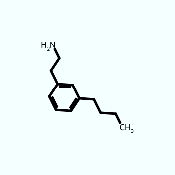 CCCCc1cccc(CCN)c1